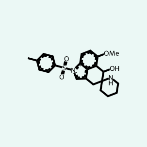 COc1ccc2c3c(cn2S(=O)(=O)c2ccc(C)cc2)CC2(CCCCN2)C(O)c13